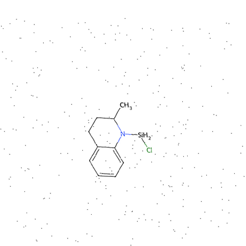 CC1CCc2ccccc2N1[SiH2]Cl